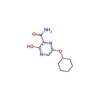 NC(=O)c1nc(OC2CCCCC2)cnc1O